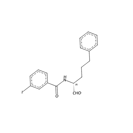 O=[C][C@@H](CCCc1ccccc1)NC(=O)c1cccc(I)c1